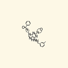 Cc1cccc(/C=N/Nc2nc(N3CCOCC3)nc3c2ncn3C2CN(C(=O)c3ccccc3)C2)c1